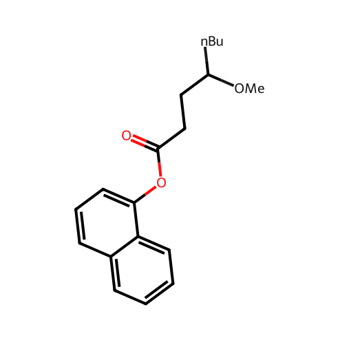 CCCCC(CCC(=O)Oc1cccc2ccccc12)OC